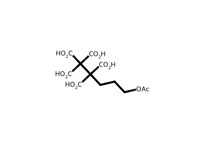 CC(=O)OCCCC(C(=O)O)(C(=O)O)C(C(=O)O)(C(=O)O)C(=O)O